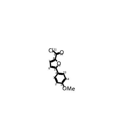 COc1ccc(-c2ccc(C(=O)Cl)o2)cc1